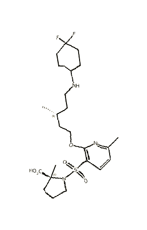 Cc1ccc(S(=O)(=O)N2CCC[C@@]2(C)C(=O)O)c(OCC[C@H](C)CCNC2CCC(F)(F)CC2)n1